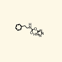 O=C(NCCc1ccccc1)Oc1nnn[nH]1